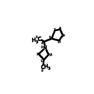 CC1CN(C(C)C2CCCC2)C1